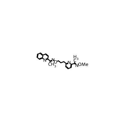 CO/N=C(\C)c1cccc(CCCO/N=C(\C)c2ccc3ccccc3n2)n1